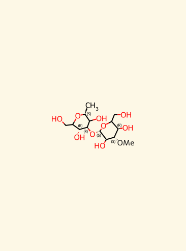 CO[C@@H]1C(O)[C@H](O[C@@H]2C(O)[C@H](C)OC(CO)[C@H]2O)OC(CO)[C@H]1O